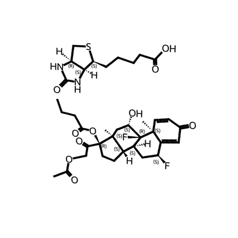 CCCC(=O)O[C@]1(C(=O)COC(C)=O)CC[C@H]2[C@@H]3C[C@H](F)C4=CC(=O)C=C[C@]4(C)[C@@]3(F)[C@@H](O)C[C@@]21C.O=C(O)CCCC[C@@H]1SC[C@@H]2NC(=O)N[C@@H]21